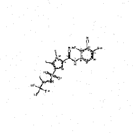 Cc1c(S(=O)(=O)NN(C)C(F)(F)F)cc(C(=O)Nc2ccc(F)c(Cl)c2F)n1C